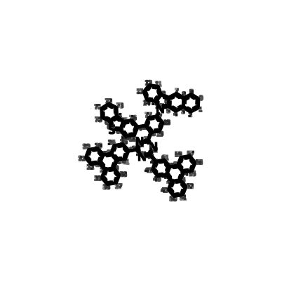 c1ccc2cc3c(cc2c1)c1ccccc1n3-c1ccc(-c2nc(-c3ccc4c5ccccc5c5ccccc5c4c3)nc(-c3ccc4c5ccccc5c5ccccc5c4c3)n2)c(-c2ccc3sc4ccccc4c3c2)c1